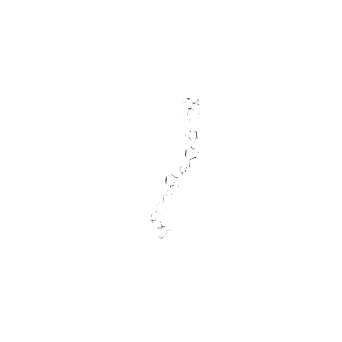 BC(B)(CCOc1ccn(-c2ccc(C(=O)NSc3cccc(NCCCC4CN(C(=O)OC(C)(C)C)C(C)(C)C4)n3)c(Cl)n2)n1)C1(C(F)(F)F)CC1